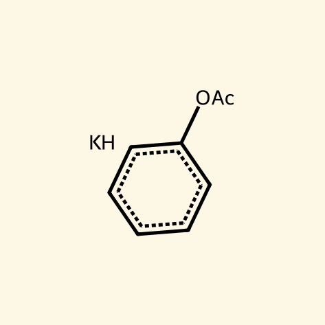 CC(=O)Oc1ccccc1.[KH]